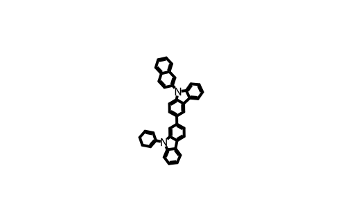 C1=CC(n2c3ccccc3c3ccc(-c4ccc5c(c4)c4ccccc4n5-c4ccc5ccccc5c4)cc32)=CCC1